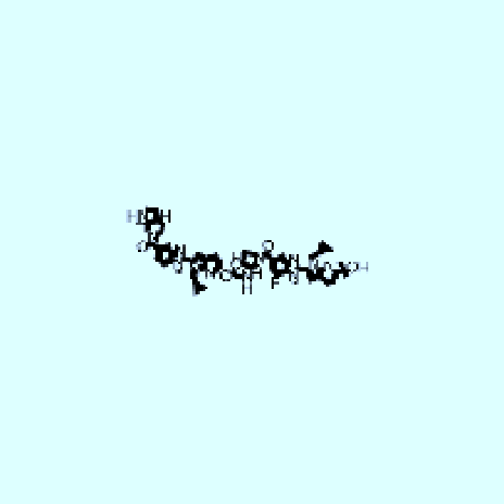 Cn1c(-c2cc3ccc(OC4CN[C@H]5CN(C(=O)c6cc(F)c7c(c6)nc(-c6cc8ccc(C(C)(C)O)nc8n6CC6CC6)n7C)CC[C@H]5O4)nc3n2CC2CC2)nc2cc(C(=O)N3CC[C@@H]4CCN[C@@H]4C3)ccc21